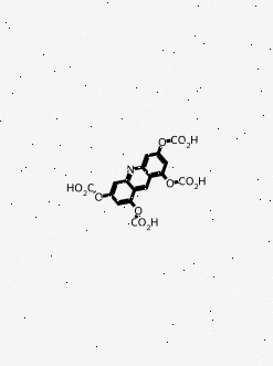 O=C(O)Oc1cc(OC(=O)O)c2cc3c(OC(=O)O)cc(OC(=O)O)cc3nc2c1